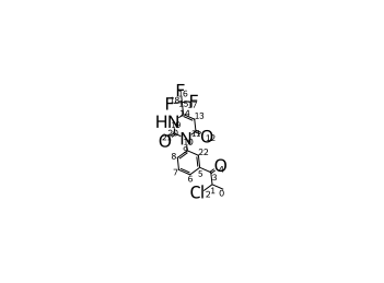 CC(Cl)C(=O)c1cccc(-n2c(=O)cc(C(F)(F)F)[nH]c2=O)c1